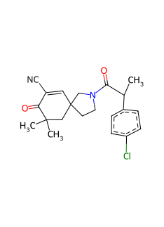 CC(C(=O)N1CCC2(C=C(C#N)C(=O)C(C)(C)C2)C1)c1ccc(Cl)cc1